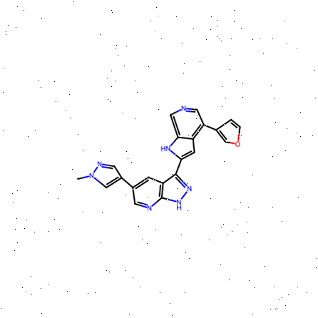 Cn1cc(-c2cnc3[nH]nc(-c4cc5c(-c6ccoc6)cncc5[nH]4)c3c2)cn1